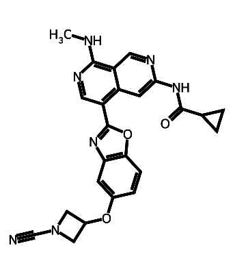 CNc1ncc(-c2nc3cc(OC4CN(C#N)C4)ccc3o2)c2cc(NC(=O)C3CC3)ncc12